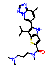 Cc1cc(-c2[nH]c3cc(C(=O)N(C)CCCN(C)C)sc3c2C(C)C)cn2ncnc12